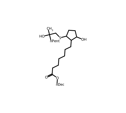 CCCCCCCCCCOC(=O)CCCCCCC1C(O)CCC1SCC(C)(O)CCCCC